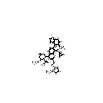 COC1CNCC(c2nc(OC[C@@H]3CCCN3C)nc3c(OC4CC4)c(-c4c(C)ccc5[nH]ncc45)ccc23)N1C(=O)O